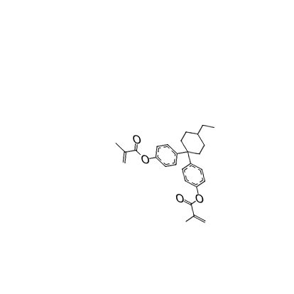 C=C(C)C(=O)Oc1ccc(C2(c3ccc(OC(=O)C(=C)C)cc3)CCC(CC)CC2)cc1